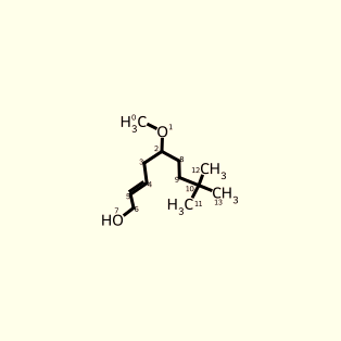 COC(CC=CCO)CCC(C)(C)C